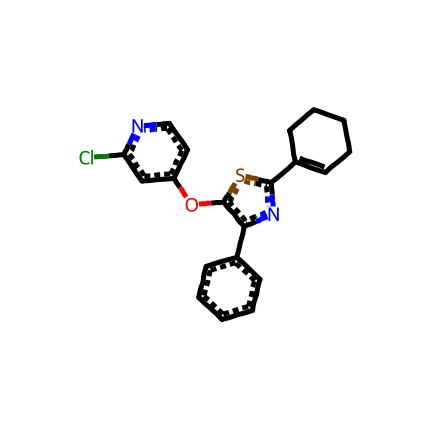 Clc1cc(Oc2sc(C3=CCCCC3)nc2-c2ccccc2)ccn1